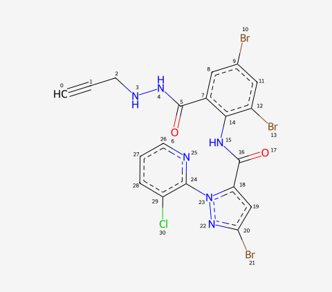 C#CCNNC(=O)c1cc(Br)cc(Br)c1NC(=O)c1cc(Br)nn1-c1ncccc1Cl